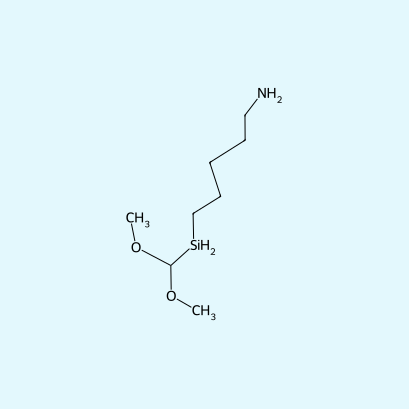 COC(OC)[SiH2]CCCCCN